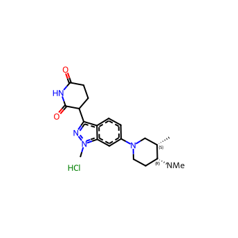 CN[C@@H]1CCN(c2ccc3c(C4CCC(=O)NC4=O)nn(C)c3c2)C[C@@H]1C.Cl